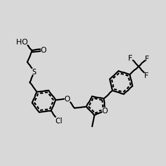 Cc1oc(-c2ccc(C(F)(F)F)cc2)cc1COc1cc(CSCC(=O)O)ccc1Cl